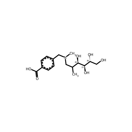 CC(CN(C)Cc1ccc(C(=O)O)cc1)[C@@H](O)[C@H](O)[C@H](O)CO